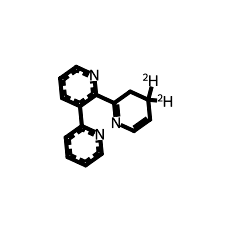 [2H]C1([2H])C=CN=C(c2ncccc2-c2ccccn2)C1